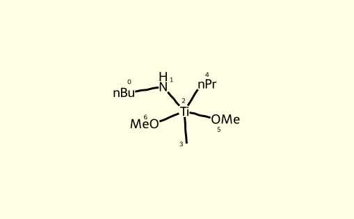 CCCC[NH][Ti]([CH3])([CH2]CC)([O]C)[O]C